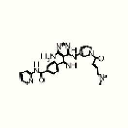 CN(C)C/C=C/C(=O)N1CC2CC(Nc3ncnc(N)c3C(=N)c3ccc(C(=O)Nc4ccccn4)cc3)C1C2